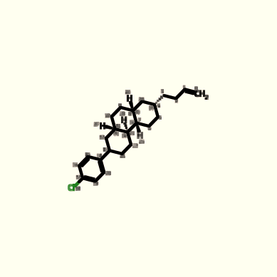 C=CCC[C@@H]1CC[C@H]2[C@H](CC[C@H]3CC(c4ccc(Cl)cc4)CC[C@@H]32)C1